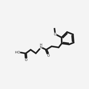 COc1ccccc1CCC(=O)NCCC(=O)O